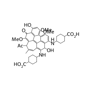 COC1=C2c3c4c5c(c(NC6CCC(C(=O)O)CC6)cc(OC)c5c5c(OC)cc(O)c(c35)C1=O)C(O)C(NC1CCC(C(=O)O)CC1)=C4C=C(C)C2C(C)=O